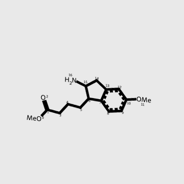 COC(=O)CCCC1c2ccc(OC)cc2CC1N